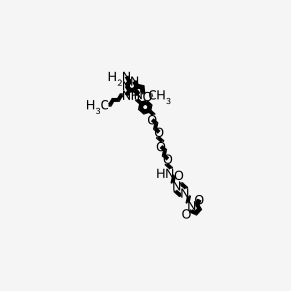 CCCCCNc1nc(N)nc2ccn(Cc3ccc(COCCOCCOCCOCCNC(=O)CN4CCN(CCN5C(=O)C=CC5=O)CC4)cc3OC)c12